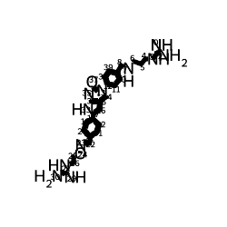 N=C(N)NCCCNCc1ccc(-n2cc3cc(-c4ccc(/C=N/OCCNC(=N)N)cc4)[nH]c3nc2=O)cc1